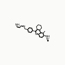 C#[N+]Nc1ccc2nc(-c3ccc(C/N=C\C=C/N)cc3)c3c(c2c1C)CCCC3